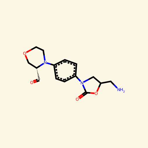 NCC1CN(c2ccc(N3CCOC[C@H]3C=O)cc2)C(=O)O1